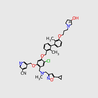 Cc1c(COc2cc(OCc3cncc(C#N)c3)c(CN(C)Cc3cc(C4CC4)on3)cc2Cl)cccc1-c1cccc(OCCCN2CC[C@@H](O)C2)c1C